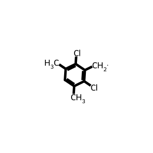 [CH2]c1c(Cl)c(C)cc(C)c1Cl